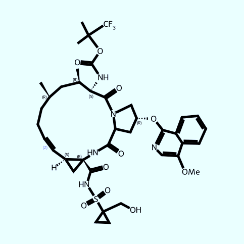 COc1cnc(O[C@@H]2CC3C(=O)N[C@]4(C(=O)NS(=O)(=O)C5(CO)CC5)C[C@H]4/C=C\CC[C@@H](C)C[C@@H](C)[C@H](NC(=O)OC(C)(C)C(F)(F)F)C(=O)N3C2)c2ccccc12